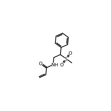 C=CC(=O)NCC(c1ccccc1)S(C)(=O)=O